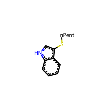 CCCCCSc1c[nH]c2ccccc12